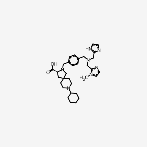 Cn1ccnc1CN(Cc1ccc(CN2CC3(CCN(C4CCCCC4)CC3)C[C@H]2C(=O)O)cc1)Cc1ncc[nH]1